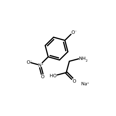 NCC(=O)O.O=[N+]([O-])c1ccc([O-])cc1.[Na+]